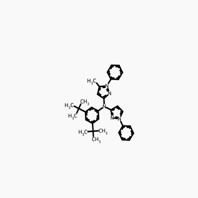 Cc1cc(N(c2cc(C(C)(C)C)cc(C(C)(C)C)c2)c2ccn(-c3ccccc3)n2)nn1-c1ccccc1